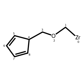 [Zr][CH2]OCC1C=CC=C1